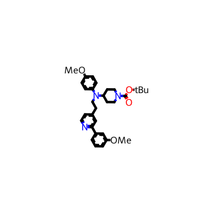 COc1ccc(N(CCc2ccnc(-c3cccc(OC)c3)c2)C2CCN(C(=O)OC(C)(C)C)CC2)cc1